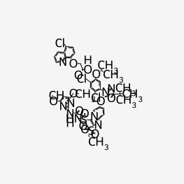 CC(C)Oc1cc(-n2nc(C(C)(C)C)oc2=O)c(Cl)cc1Cl.CCS(=O)(=O)c1nc2ccccn2c1S(=O)(=O)NC(=O)Nc1nc(OC)cc(OC)n1.O=C(O)COc1ccc(Cl)c2cccnc12